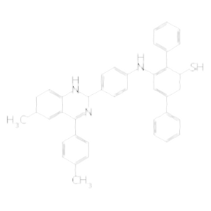 Cc1ccc(C2=NC(c3ccc(NC4=C(c5ccccc5)C(S)CC(c5ccccc5)=C4)cc3)NC3=CCC(C)C=C32)cc1